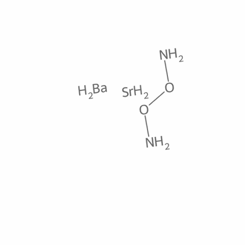 NOON.[BaH2].[SrH2]